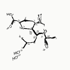 CN[C@@H]1C[C@H](C(=O)O)N[C@@H]1[C@H](CC(C)C)NC(C)=O.Cl.Cl